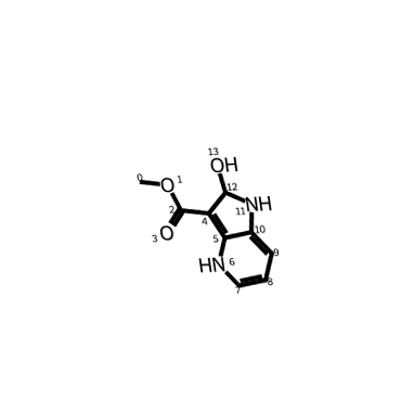 COC(=O)C1=C2NC=CC=C2NC1O